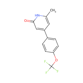 Cc1cc(-c2ccc(OC(F)(F)F)cc2)cc(=O)[nH]1